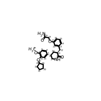 COc1ccc([C@H]2CNC(=O)[C@H](Cc3cccc(OCC(N)=O)c3)C2)cc1OC1CCCC1